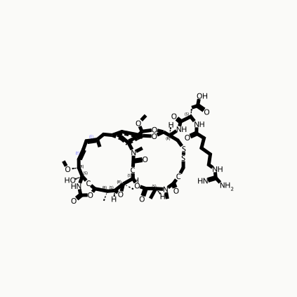 COC1OC2Oc3cc4cc(c31)N(C)C(=O)C[C@H](OC(=O)[C@H](C)N(C)C(=O)CCSSC[C@@H]2NC(=O)[C@H](CC(=O)O)NC(=O)CCCCNC(=N)N)[C@@]1(C)O[C@H]1[C@H](C)C1C[C@@](O)(NC(=O)O1)[C@H](OC)/C=C/C=C(\C)C4